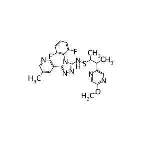 COc1cnc(C(C)C(C)SNc2nnc(-c3cncc(C)c3)n2-c2c(F)cccc2F)cn1